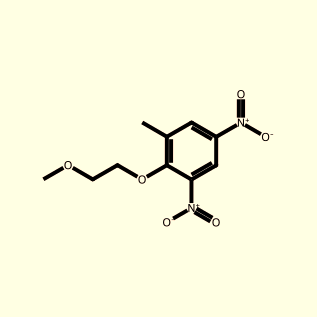 COCCOc1c(C)cc([N+](=O)[O-])cc1[N+](=O)[O-]